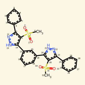 CS(=O)(=O)c1c(-c2ccccc2)n[nH]c1-c1cccc(-c2[nH]nc(-c3ccccc3)c2S(C)(=O)=O)c1